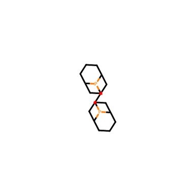 C1CC2CCCC(C1)P2CCP1C2CCCC1CCC2